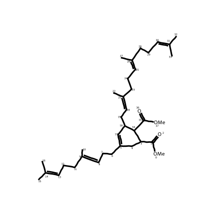 COC(=O)C1CC(CC/C=C(\C)CCC=C(C)C)=CC(C/C=C(\C)CC/C=C(\C)CCC=C(C)C)C1C(=O)OC